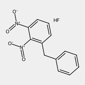 F.O=[N+]([O-])c1cccc(Cc2ccccc2)c1[N+](=O)[O-]